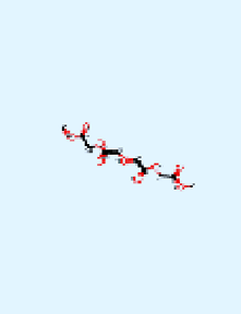 COC(=O)COC(=O)COCC(=O)OCC(=O)OC